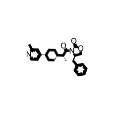 Cc1cc([C@H]2CC[C@@H]([C@@H](C)C(=O)N3C(=O)OC[C@H]3Cc3ccccc3)CC2)ccn1